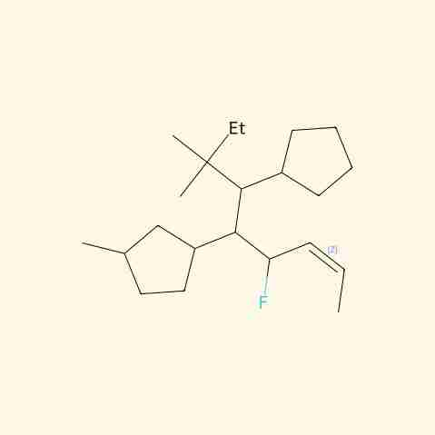 C/C=C\C(F)C(C1CCC(C)C1)C(C1CCCC1)C(C)(C)CC